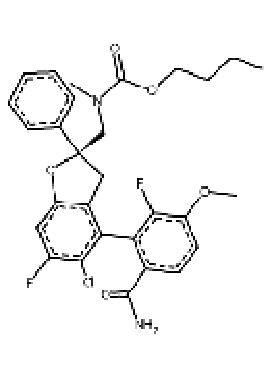 CCCCOC(=O)N(C)C[C@@]1(c2ccccc2)Cc2c(cc(F)c(Cl)c2-c2c(C(N)=O)ccc(OC)c2F)O1